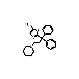 Cc1nnc(C(CCN2CCCCC2)(c2ccccc2)c2ccccc2)o1